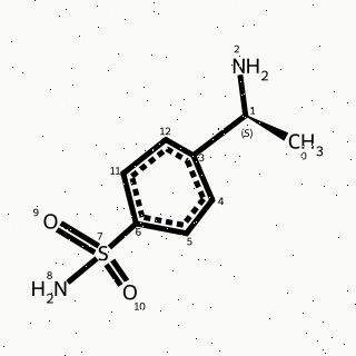 C[C@H](N)c1ccc(S(N)(=O)=O)cc1